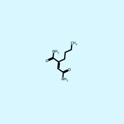 CCCC/C(=C\C(N)=O)C(N)=O